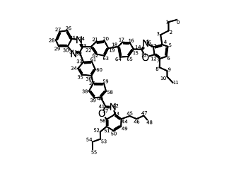 CCCCc1ccc(CCCC)c2oc(-c3ccc(-c4ccc(-c5nc6ccccc6nc5-c5ccc(-c6ccc(-c7nc8c(CCCC)ccc(CCCC)c8o7)cc6)cc5)cc4)cc3)nc12